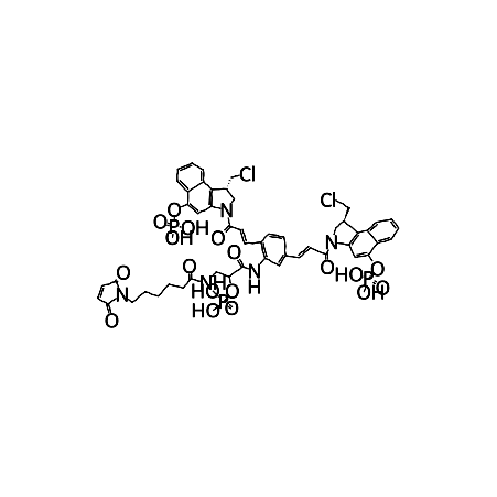 O=C(CCCCCN1C(=O)C=CC1=O)NCC(OP(=O)(O)O)C(=O)Nc1cc(/C=C/C(=O)N2C[C@@H](CCl)c3c2cc(OP(=O)(O)O)c2ccccc32)ccc1/C=C/C(=O)N1C[C@@H](CCl)c2c1cc(OP(=O)(O)O)c1ccccc21